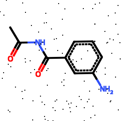 CC(=O)NC(=O)c1c[c]cc(N)c1